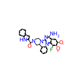 COc1cc2c(N)nc(N3CCN(C(=O)c4cc5ccccc5[nH]4)CC3c3ccccc3)nc2c(F)c1OC